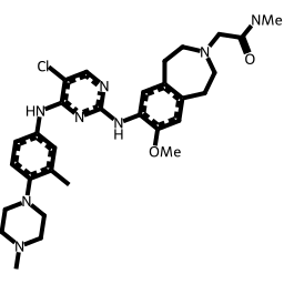 CNC(=O)CN1CCc2cc(Nc3ncc(Cl)c(Nc4ccc(N5CCN(C)CC5)c(C)c4)n3)c(OC)cc2CC1